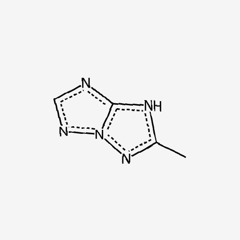 Cc1nn2ncnc2[nH]1